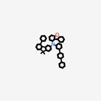 CC1(C)c2ccc(N(c3cccc(-c4ccc(-c5ccccc5)cc4)c3)c3cccc4oc5ccccc5c34)cc2-c2c(-c3ccccc3)cccc21